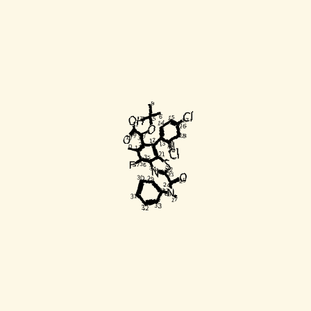 Cc1c([C@H](OC(C)(C)C)C(=O)O)c(C2=CC=C(Cl)C[C@H]2Cl)c2sc(C(=O)N(C)c3ccccc3)nc2c1F